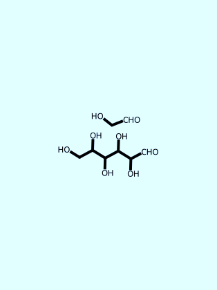 O=CC(O)C(O)C(O)C(O)CO.O=CCO